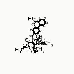 CCOC(=O)C1=C(C(C)(C)O)NC(C)(OCC)N1Cc1ccc(-c2ccccc2C(=O)O)cc1